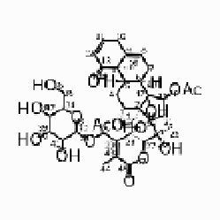 CC(=O)OC[C@]12CC[C@H]3[C@@H](CC=C4CC=CC(=O)[C@@]43C)[C@]1(O)[C@@H](OC(C)=O)C[C@@]2(O)[C@@](C)(O)[C@H]1CC(COC2OC(CO)C(O)C(O)C2O)=C(C)C(=O)O1